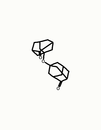 O=C1C2CC3CC1CC(OC14CC5CC(C1)C(=O)C(C5)C4)(C3)C2